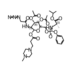 CC(=O)O[C@H]1[C@H](OC(C)=O)[C@@H](COP(=O)(N[C@@H](C)C(=O)OC(C)C)Oc2ccccc2)OC(OC(=O)CCN2CCN(C)CC2)[C@H]1NC(=O)CN=[N+]=[N-]